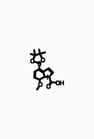 COC1C=CC(B2OC(C)(C)C(C)(C)O2)=C2C=CN(C(=O)O)C21